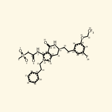 CS(=O)(=O)CC(=O)Nc1c2c(nn1CCc1ccccc1)C[C@H](CCc1cc(F)cc(OCC(F)(F)F)c1)NC2=O